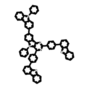 c1ccc(-n2c3ccccc3c3cc(-c4ccc5c(c4)c4nc(-c6ccc(-c7cccc8c7oc7ccccc78)cc6)nc(-c6ccc(-c7cccc8c7oc7ccccc78)cc6)c4n5-c4ccccc4)ccc32)cc1